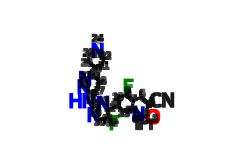 CC(C)n1c(=O)c(C#N)cc2c(F)cc(-c3nc(Nc4ccc(C5CCN(C)CC5)nn4)ncc3F)cc21